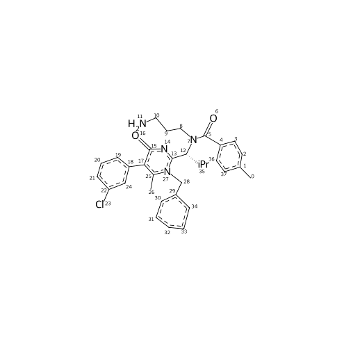 Cc1ccc(C(=O)N(CCCN)[C@@H](c2nc(=O)c(-c3cccc(Cl)c3)c(C)n2Cc2ccccc2)C(C)C)cc1